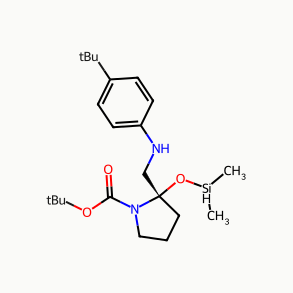 C[SiH](C)O[C@]1(CNc2ccc(C(C)(C)C)cc2)CCCN1C(=O)OC(C)(C)C